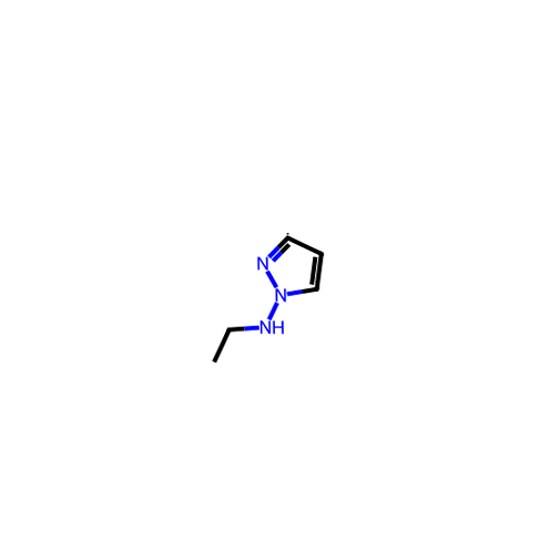 CCNn1cc[c]n1